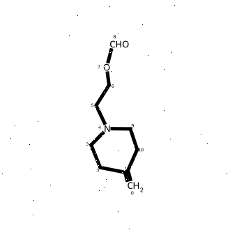 C=C1CCN(CCOC=O)CC1